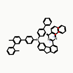 C=C(/N=C(\N=C(/C)c1ccccc1)c1cccc2c1-c1cc(N(c3ccc(-c4ccccc4)cc3)c3ccc(-c4ccc(C)c(-c5ccccc5C)c4)cc3)ccc1C2)c1ccccc1